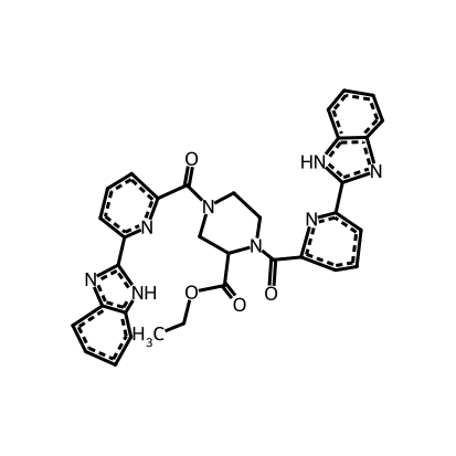 CCOC(=O)C1CN(C(=O)c2cccc(-c3nc4ccccc4[nH]3)n2)CCN1C(=O)c1cccc(-c2nc3ccccc3[nH]2)n1